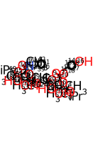 CC(C)OC(C)(C)[C@@H]1OC(C(=O)OCc2ccc(O)cc2)[C@@H](OC(C)(C)CCOC(C)(C)[C@@H]2OC(C(=O)N(C)Cc3ccccc3)[C@@H](OC(C)(C)C(C)C)[C@H](O)[C@@H]2O)[C@H](O)[C@@H]1O